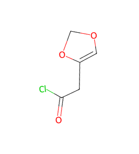 O=C(Cl)CC1=COCO1